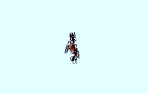 CCC(=O)NCc1coc2ccc(S(=O)(=O)N(CC(C)C)C[C@@H](O)CNC(=O)OC3CO[C@H]4OCC[C@@H]34)cc12